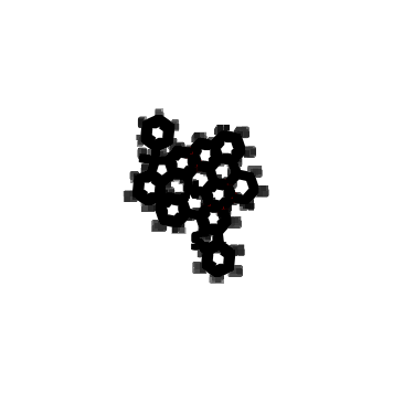 CC1(c2ccccc2)c2ccccc2-c2c(N(c3ccccc3-c3cccc4c3sc3ccccc34)c3ccccc3-c3cccc4cccc(C5CCCCC5)c34)cccc21